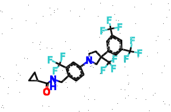 O=C(NCc1ccc(N2CCC(c3cc(C(F)(F)F)cc(C(F)(F)F)c3)(C(F)(F)F)C2)cc1C(F)(F)F)C1CC1